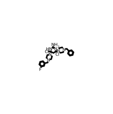 NC1=NC(Cl)(N2CCN(Cc3ccccc3)CC2)CC(Cl)(N2CCN(Cc3cccc(F)c3)CC2)N1